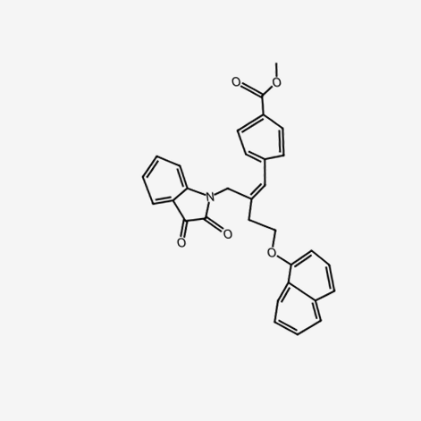 COC(=O)c1ccc(C=C(CCOc2cccc3ccccc23)CN2C(=O)C(=O)c3ccccc32)cc1